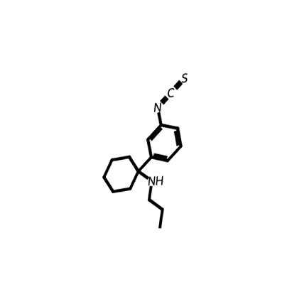 CCCNC1(c2cccc(N=C=S)c2)CCCCC1